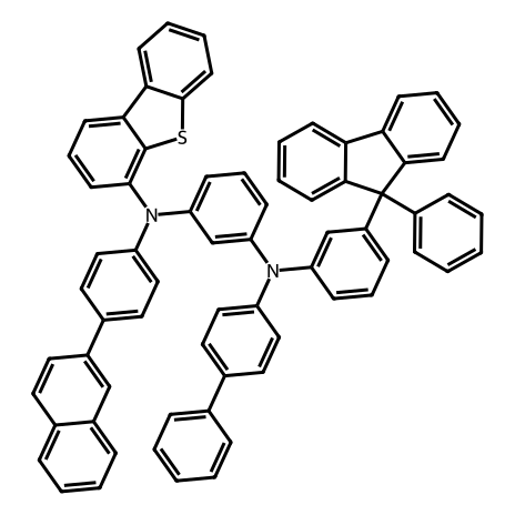 c1ccc(-c2ccc(N(c3cccc(N(c4ccc(-c5ccc6ccccc6c5)cc4)c4cccc5c4sc4ccccc45)c3)c3cccc(C4(c5ccccc5)c5ccccc5-c5ccccc54)c3)cc2)cc1